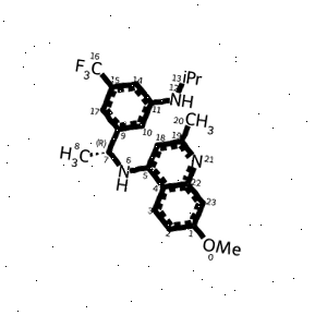 COc1ccc2c(N[C@H](C)c3cc(NC(C)C)cc(C(F)(F)F)c3)cc(C)nc2c1